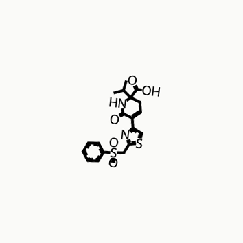 CC(C)C1(C(=O)O)CC=C(c2csc(CS(=O)(=O)c3ccccc3)n2)C(=O)N1